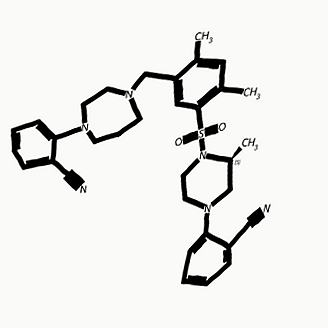 Cc1cc(C)c(S(=O)(=O)N2CCN(c3ccccc3C#N)C[C@@H]2C)cc1CN1CCCN(c2ccccc2C#N)CC1